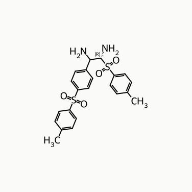 Cc1ccc(S(=O)(=O)c2ccc(C(N)[C@H](N)S(=O)(=O)c3ccc(C)cc3)cc2)cc1